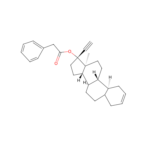 C#C[C@]1(OC(=O)Cc2ccccc2)CC[C@H]2[C@@H]3CCC4CC=CC[C@@H]4[C@H]3CC[C@@]21C